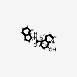 O=C(N[C@@H]1CCc2ccccc21)[C@]1(F)CC[C@H](O)c2ncccc21